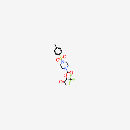 CC(=O)C(OC(=O)N1CCN(S(=O)(=O)c2ccc(C)cc2)CC1)C(F)(F)F